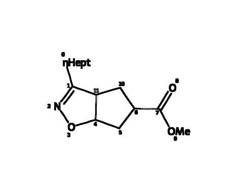 CCCCCCCC1=NOC2CC(C(=O)OC)CC12